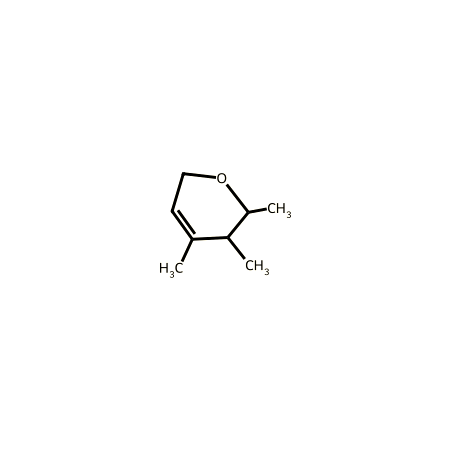 CC1=CCOC(C)C1C